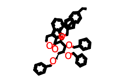 CCc1ccc(Cc2cccc3c4c(sc23)[C@]2(OCC4)O[C@H](COCc3ccccc3)[C@@H](OCc3ccccc3)[C@H](OCc3ccccc3)[C@H]2OCc2ccccc2)cc1